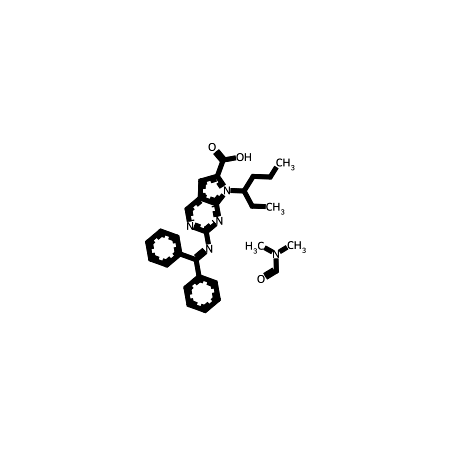 CCCC(CC)n1c(C(=O)O)cc2cnc(N=C(c3ccccc3)c3ccccc3)nc21.CN(C)C=O